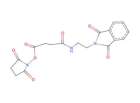 O=C(CCC(=O)ON1C(=O)CCC1=O)NCCN1C(=O)c2ccccc2C1=O